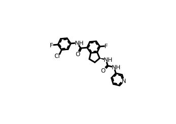 O=C(Nc1cccnc1)N[C@H]1CCc2c(C(=O)Nc3ccc(F)c(Cl)c3)ccc(F)c21